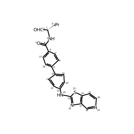 CC(C)[C@@H](C=O)NC(=O)c1ccc(-c2ccc(Nc3nc4cnccc4s3)cc2)cc1